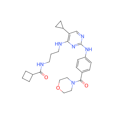 O=C(NCCCNc1nc(Nc2ccc(C(=O)N3CCOCC3)cc2)ncc1C1CC1)C1CCC1